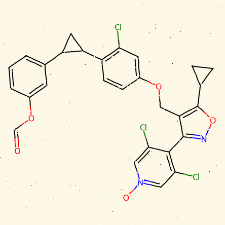 O=COc1cccc(C2CC2c2ccc(OCc3c(-c4c(Cl)c[n+]([O-])cc4Cl)noc3C3CC3)cc2Cl)c1